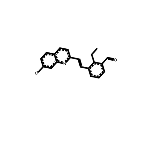 CCc1c(C=O)cccc1C=Cc1ccc2ccc(Cl)cc2n1